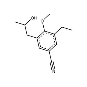 CCc1cc(C#N)cc(CC(C)O)c1OC